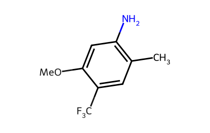 COc1cc(N)c(C)cc1C(F)(F)F